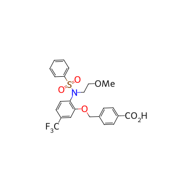 COCCN(c1ccc(C(F)(F)F)cc1OCc1ccc(C(=O)O)cc1)S(=O)(=O)c1ccccc1